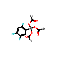 CCC(=O)O[Si](OC(=O)CC)(OC(=O)CC)c1cc(F)c(F)cc1F